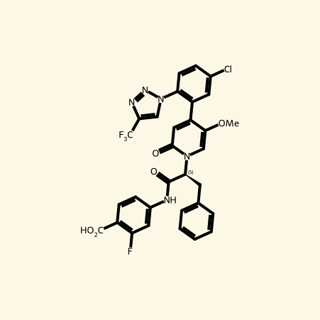 COc1cn([C@@H](Cc2ccccc2)C(=O)Nc2ccc(C(=O)O)c(F)c2)c(=O)cc1-c1cc(Cl)ccc1-n1cc(C(F)(F)F)nn1